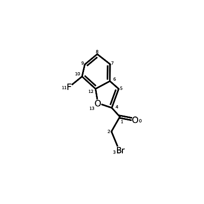 O=C(CBr)c1cc2cccc(F)c2o1